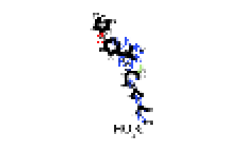 Nc1ncnc2c1c(-c1ccc(Oc3ccccc3)cc1)nn2C1CCN(C2CN(C3CN(CC(=O)O)C3)C2)CC1F